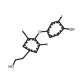 OCCc1cc(I)c(Oc2ccc(O)c(I)c2)c(I)c1